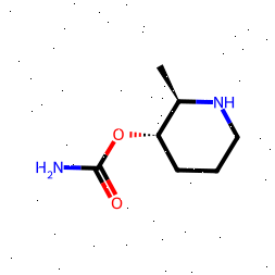 C[C@H]1NCCC[C@@H]1OC(N)=O